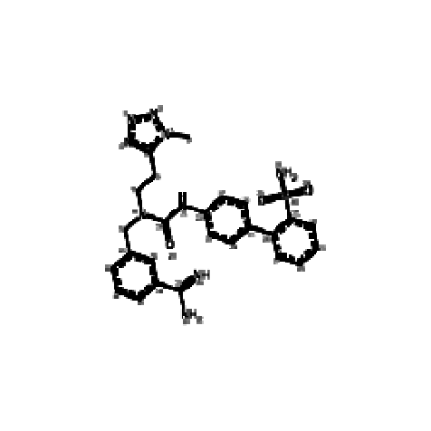 Cn1nnnc1CCN(Cc1cccc(C(=N)N)c1)C(=O)Nc1ccc(-c2ccccc2S(N)(=O)=O)cc1